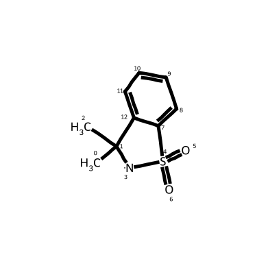 CC1(C)[N]S(=O)(=O)c2ccccc21